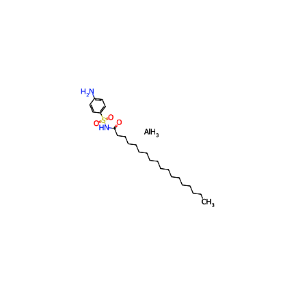 CCCCCCCCCCCCCCCCCC(=O)NS(=O)(=O)c1ccc(N)cc1.[AlH3]